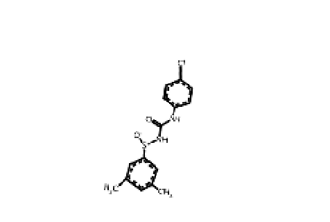 Cc1cc(C)cc([S+]([O-])NC(=O)Nc2ccc(Cl)cc2)c1